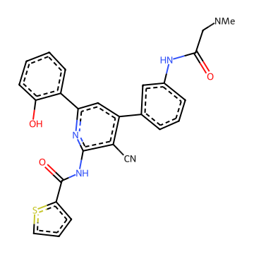 CNCC(=O)Nc1cccc(-c2cc(-c3ccccc3O)nc(NC(=O)c3cccs3)c2C#N)c1